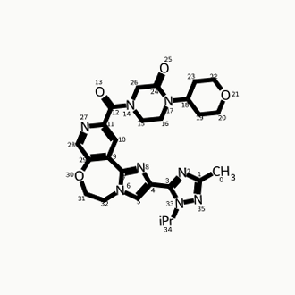 Cc1nc(-c2cn3c(n2)-c2cc(C(=O)N4CCN(C5CCOCC5)C(=O)C4)ncc2OCC3)n(C(C)C)n1